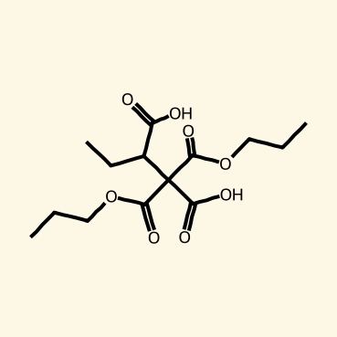 CCCOC(=O)C(C(=O)O)(C(=O)OCCC)C(CC)C(=O)O